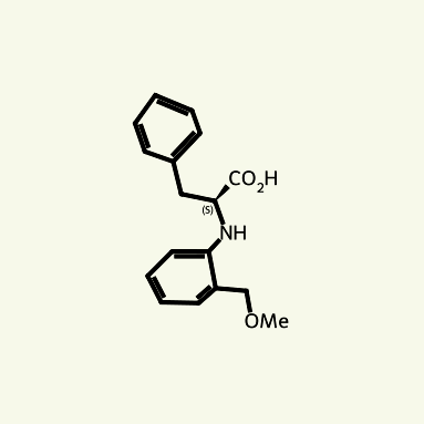 COCc1ccccc1N[C@@H](Cc1ccccc1)C(=O)O